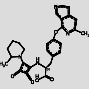 Cc1cc2ccncc2c(Oc2ccc(C[C@H](Nc3c(N4CCCCC4C)c(=O)c3=O)C(=O)O)cc2)n1